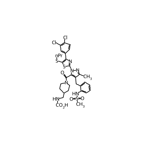 CCCSc1sc(-n2nc(C)c(Cc3ccccc3NS(C)(=O)=O)c2C(=O)N2CCC(CNC(=O)O)CC2)nc1-c1ccc(Cl)c(Cl)c1